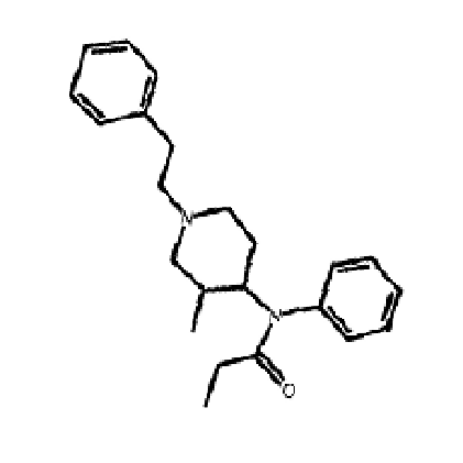 CCC(=O)N(c1ccccc1)C1CCN(CCc2ccccc2)CC1C